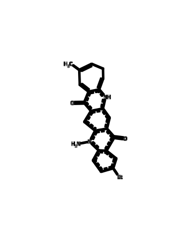 CCc1ccc2c(c1)c(=O)c1cc3[nH]c4c(c(=O)c3cc1n2N)=CC(C)=CCC=4